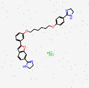 Cl.Cl.c1cc(OCCCCCCOc2ccc(C3=NCCN3)cc2)cc(-c2cc3ccc(C4=NCCN4)cc3o2)c1